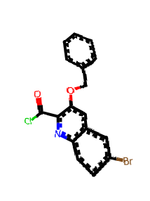 O=C(Cl)c1nc2ccc(Br)cc2cc1OCc1ccccc1